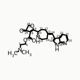 CN(C)CCOC(=O)C1=C(C2CCC(=Cc3c[nH]c4ncccc34)CCN2)OCC1=O